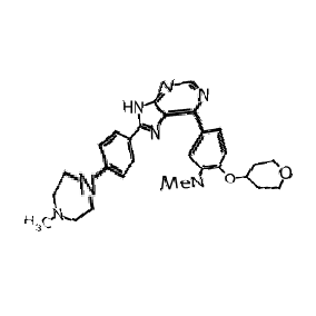 CNc1cc(-c2ncnc3[nH]c(-c4ccc(N5CCN(C)CC5)cc4)nc23)ccc1OC1CCOCC1